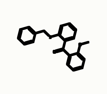 COc1ccccc1C(=O)c1ccccc1SCc1ccccc1